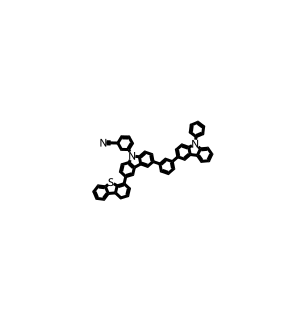 N#CC1C=CC=C(n2c3ccc(C4=C5Sc6ccccc6C5CC=C4)cc3c3cc(-c4cccc(-c5ccc6c(c5)c5ccccc5n6-c5ccccc5)c4)ccc32)C1